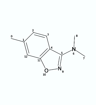 Cc1ccc2c(N(C)C)noc2c1